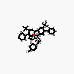 CC(C)(C)c1cc2c(cc1-c1ccccc1)[CH]([Zr]([Cl])([Cl])(=[CH]c1ccc(Cl)cc1)[CH]1C=CC=C1)c1cc(-c3ccccc3)c(C(C)(C)C)cc1-2